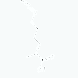 C/C(=C\CCCN=C=O)C(=O)O